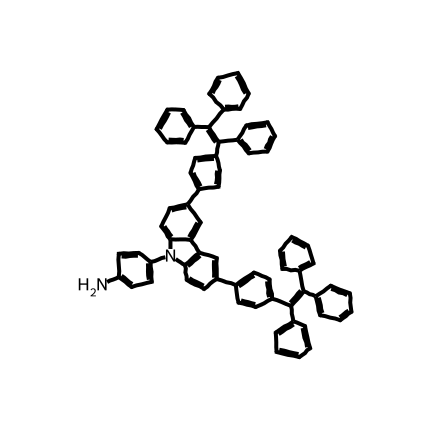 Nc1ccc(-n2c3ccc(-c4ccc(C(=C(c5ccccc5)c5ccccc5)c5ccccc5)cc4)cc3c3cc(-c4ccc(C(=C(c5ccccc5)c5ccccc5)c5ccccc5)cc4)ccc32)cc1